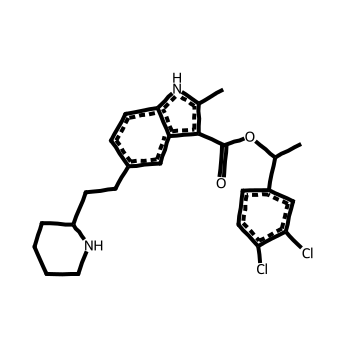 Cc1[nH]c2ccc(CCC3CCCCN3)cc2c1C(=O)OC(C)c1ccc(Cl)c(Cl)c1